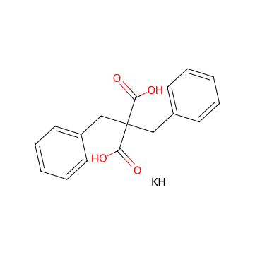 O=C(O)C(Cc1ccccc1)(Cc1ccccc1)C(=O)O.[KH]